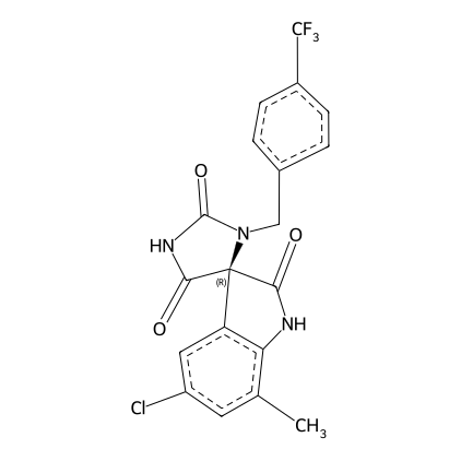 Cc1cc(Cl)cc2c1NC(=O)[C@@]21C(=O)NC(=O)N1Cc1ccc(C(F)(F)F)cc1